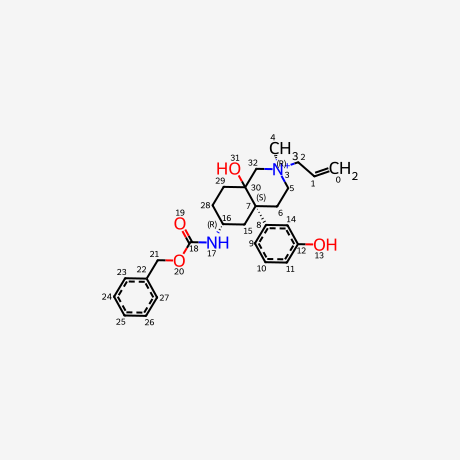 C=CC[N@@+]1(C)CC[C@@]2(c3cccc(O)c3)C[C@H](NC(=O)OCc3ccccc3)CCC2(O)C1